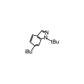 CCC(C)c1ccc2cnn(C(C)(C)C)c2c1